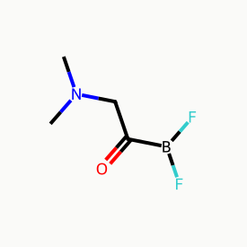 CN(C)CC(=O)B(F)F